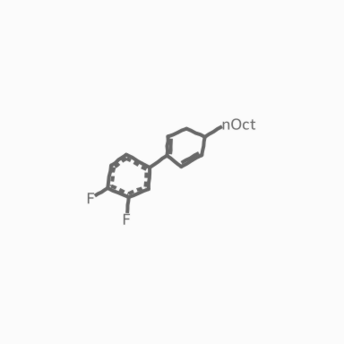 CCCCCCCCC1C=CC(c2ccc(F)c(F)c2)=CC1